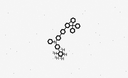 [2H]c1c([2H])c([2H])c(-c2ccc(N(c3ccccc3)c3ccc(-c4ccc(-c5ccc6c(c5)C(c5ccccc5)(c5ccccc5)c5ccccc5-6)cc4)cc3)cc2)c([2H])c1[2H]